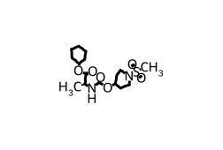 C[C@H](NC(=O)OC1CCN(S(C)(=O)=O)CC1)C(=O)OC1CCCCC1